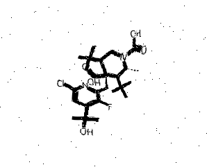 C[C@@H]1C(C(C)(C)C)[C@](Cc2nc(Cl)cc(C(C)(C)O)c2F)(C(=O)O)C(C(C)(C)C)CN1C(=O)O